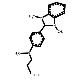 CN(CCC(=O)O)c1ccc(C2N(C)c3ccccc3N2C)cc1